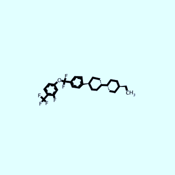 CC[C@H]1CC[C@H]([C@H]2CC[C@H](c3ccc(C(F)(F)Oc4ccc(C(F)(F)F)c(F)c4)cc3)CC2)CC1